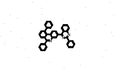 c1ccc(-c2nc(-c3ccc4c(c3)nc(-c3ccccc3)c3cccc(-c5ccccc5)c34)c3ccccc3n2)cc1